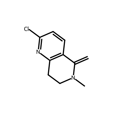 C=C1c2ccc(Cl)nc2CCN1C